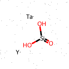 O=[Si](O)O.[Ta].[Y]